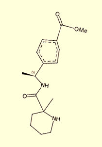 COC(=O)c1ccc([C@H](C)NC(=O)C2(C)CCCCN2)cc1